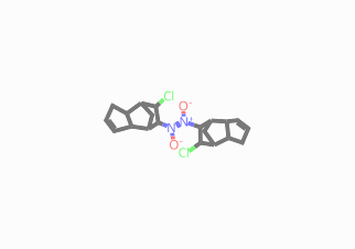 [O-]/[N+](C1C(Cl)C2CC1C1C=CCC12)=[N+](/[O-])C1C(Cl)C2CC1C1C=CCC12